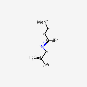 C=C(C/N=C(/CCNC)C(C)C)C(C)C